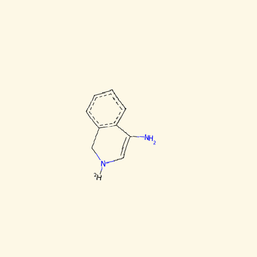 [2H]N1C=C(N)c2ccccc2C1